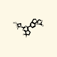 C[C@H]1[C@H](O)CN1c1nc(-c2ccc3c(c2)CC[C@]32COC(=O)N2)c2c(n1)C(F)(F)CC2